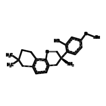 CCCCOc1ccc([C@@]2(N)COc3c(ccc4c3CCC(C)(C)C4)C2)c(O)c1